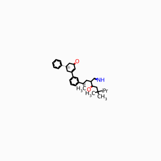 CC(C)C(C)(C)CC(=O)C(C=N)C[C@H](C)c1cccc(C2=CC(=O)C[C@@H](c3ccccc3)C2)c1